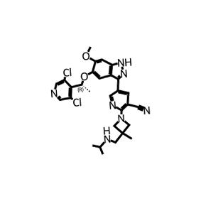 COc1cc2[nH]nc(-c3cnc(N4CC(C)(CNC(C)C)C4)c(C#N)c3)c2cc1O[C@H](C)c1c(Cl)cncc1Cl